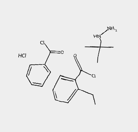 CC(C)(C)NN.CCc1ccccc1C(=O)Cl.Cl.O=C(Cl)c1ccccc1